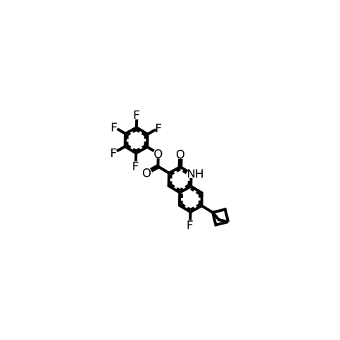 O=C(Oc1c(F)c(F)c(F)c(F)c1F)c1cc2cc(F)c(C34CC(C3)C4)cc2[nH]c1=O